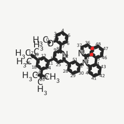 COc1ccccc1-c1cc(-c2cc(C(C)(C)C)cc(C(C)(C)C)c2)cc(-c2cccc(N(c3ccccn3)c3ccccc3-c3ccccc3)c2)n1